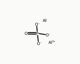 O=P([O-])([O-])[O-].[Al+3].[Al]